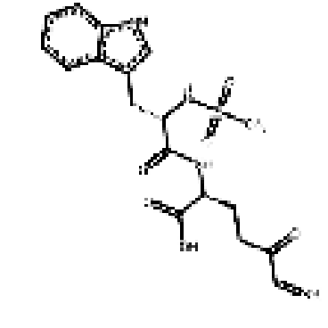 CS(=O)(=O)N[C@@H](Cc1c[nH]c2ccccc12)C(=O)N[C@@H](CCC(=O)C=N)C(=O)O